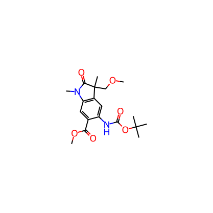 COCC1(C)C(=O)N(C)c2cc(C(=O)OC)c(NC(=O)OC(C)(C)C)cc21